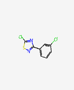 Clc1cccc(-c2nsc(Cl)n2)c1